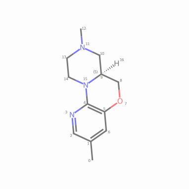 Cc1cnc2c(c1)OC[C@@H]1CN(C)CCN21